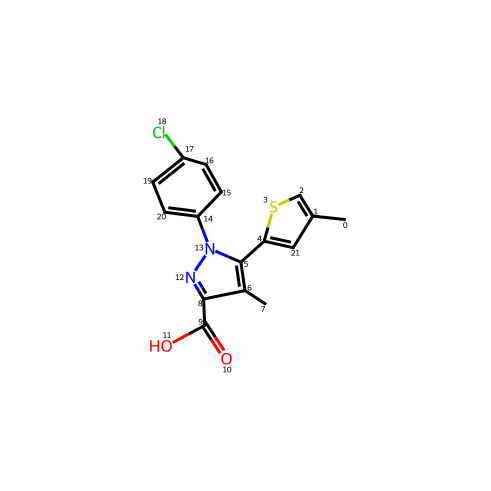 Cc1csc(-c2c(C)c(C(=O)O)nn2-c2ccc(Cl)cc2)c1